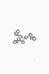 CC1(C)c2ccccc2-c2cccc(-c3ccc(N(c4ccc(-c5cccc6ccccc56)cc4)c4ccccc4-c4cccc5c4oc4ccccc45)cc3)c21